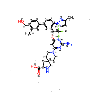 Cc1ccn(-c2ccc(-c3ccc(CO)c(C)c3)cc2[C@@H](Oc2cc(N3CCC4(CC3)CNC(C(=O)O)C4)nc(N)n2)C(F)(F)F)n1